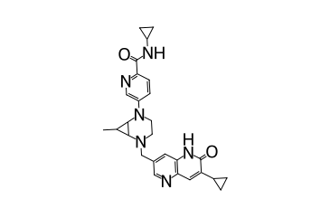 CC1C2C1N(c1ccc(C(=O)NC3CC3)nc1)CCN2Cc1cnc2cc(C3CC3)c(=O)[nH]c2c1